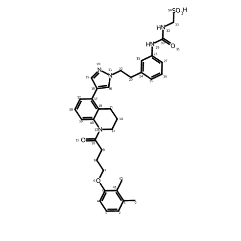 Cc1cccc(OCCCC(=O)N2CCCc3c(-c4cnn(CCc5cccc(NC(=O)NCS(=O)(=O)O)c5)c4)cccc32)c1C